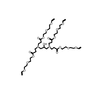 C=COCCOCCOC(=O)CCN(CCC(=O)OCCOCCOC=C)CC(O)CN(CCC(=O)OCCOCCOC=C)CCC(=O)OCCOCCOC=C